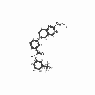 CSc1ncc2c(n1)CCN(c1cccc(C(=O)Nc3cccc(C(F)(F)F)c3)c1)C2